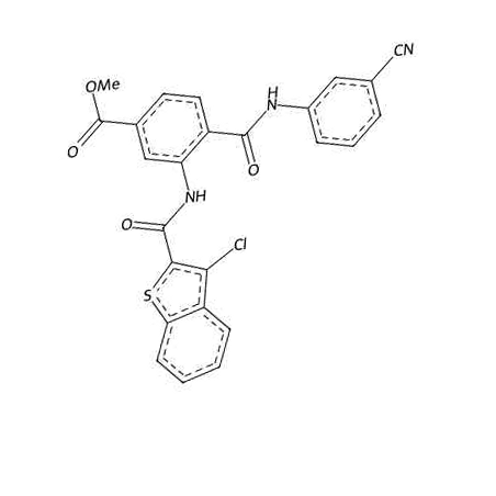 COC(=O)c1ccc(C(=O)Nc2cccc(C#N)c2)c(NC(=O)c2sc3ccccc3c2Cl)c1